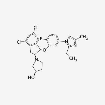 CCc1nc(C)cn1-c1ccc(F)c(O[C@H]2c3cc(Cl)cc(Cl)c3C[C@@H]2N2CC[C@@H](O)C2)c1